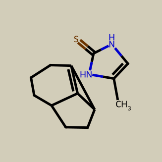 C1CC2=C3C(C1)CCC23.Cc1c[nH]c(=S)[nH]1